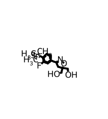 [CH3][Sn]([CH3])([CH3])[c]1ccc(C2=NOC(CO)(CO)C2)cc1F